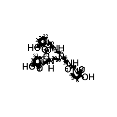 O=C(Cn1cccc(O)c1=O)NCCN(CCNC(=O)Cn1cccc(O)c1=O)CCNC(=O)Cn1cccc(O)c1=O